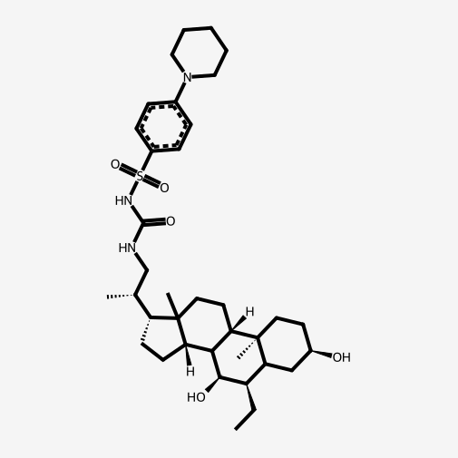 CC[C@@H]1C2C[C@H](O)CC[C@]2(C)[C@H]2CCC3(C)[C@@H]([C@H](C)CNC(=O)NS(=O)(=O)c4ccc(N5CCCCC5)cc4)CC[C@H]3C2[C@@H]1O